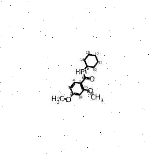 COc1ccc(C(=O)PC2CCCCC2)c(OC)c1